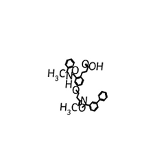 Cc1oc(-c2cccc(-c3ccccc3)c2)nc1CCOc1ccc(CCC(=O)O)c(C(=O)N[C@H](C)c2ccccc2)c1